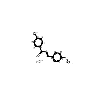 CSc1ccc(/C=C/C(=O)c2ccc(Cl)cc2)cc1.Cl